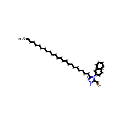 CCCCCCCCCCCCCCCCCCCCCCCCCCCCCCCCCC1=NNC(C=S)N1c1ccc2ccccc2c1